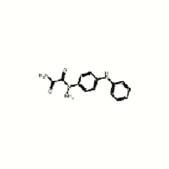 NC(=O)C(=O)N(N)c1ccc(Nc2ccccc2)cc1